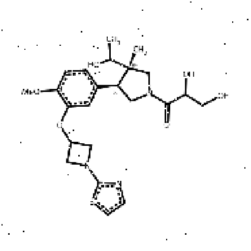 COc1ccc([C@@H]2CN(C(=O)C(O)CO)C[C@@]2(C)C(C)O)cc1OC1CN(c2nccs2)C1